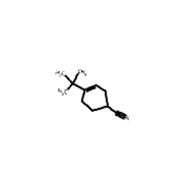 CC(C)(C)C1=CCC(C#N)CC1